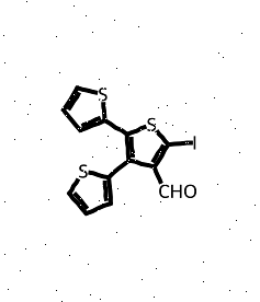 O=Cc1c(I)sc(-c2cccs2)c1-c1cccs1